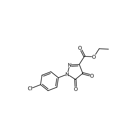 CCOC(=O)C1=NN(c2ccc(Cl)cc2)C(=O)C1=O